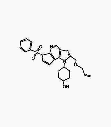 C=CCOCc1nc2cnc3c(ccn3S(=O)(=O)c3ccccc3)c2n1C1CCC(O)CC1